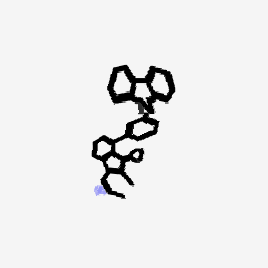 C/C=C\C1=C(C)C(=O)c2c1cccc2-c1cccc(-n2c3ccccc3c3ccccc32)c1